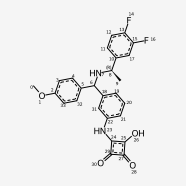 COc1ccc(C(N[C@H](C)c2ccc(F)c(F)c2)c2cccc(Nc3c(O)c(=O)c3=O)c2)cc1